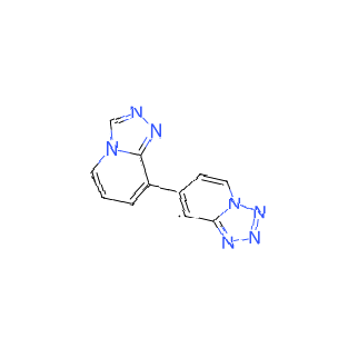 [c]1c(-c2cccn3cnnc23)ccn2nnnc12